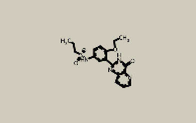 CCCS(=O)(=O)Nc1ccc(OCC)c(-c2nc3cccnc3c(=O)[nH]2)c1